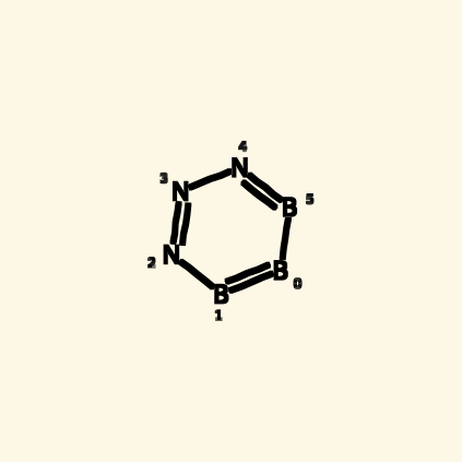 b1bnnnb1